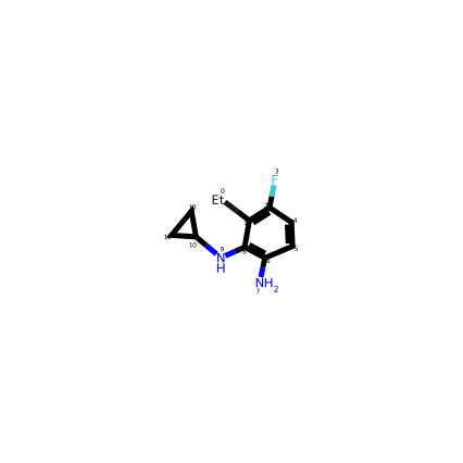 CCc1c(F)ccc(N)c1NC1CC1